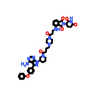 Nc1ncnc2c1c(-c1ccc(Oc3ccccc3)cc1)nn2C1CCCN(C(=O)CCCN2CCN(C(=O)CCNc3cccc4c3C(=O)N(C3CCC(=O)NC3=O)C4=O)CC2)C1